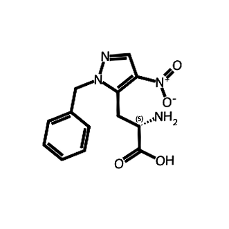 N[C@@H](Cc1c([N+](=O)[O-])cnn1Cc1ccccc1)C(=O)O